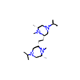 CC(C)N1C[C@H](CC[C@H]2CN(C(C)C)C[C@@H](C)N2C)N(C)[C@H](C)C1